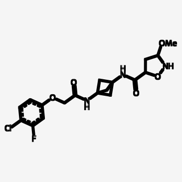 COC1CC(C(=O)NC23CC(NC(=O)COc4ccc(Cl)c(F)c4)(C2)C3)ON1